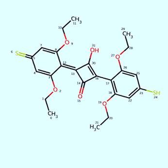 CCOC1=CC(=S)C=C(OCC)C1=C1C(=O)C(c2c(OCC)cc(S)cc2OCC)=C1O